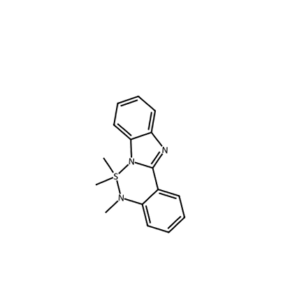 CN1c2ccccc2-c2nc3ccccc3n2S1(C)C